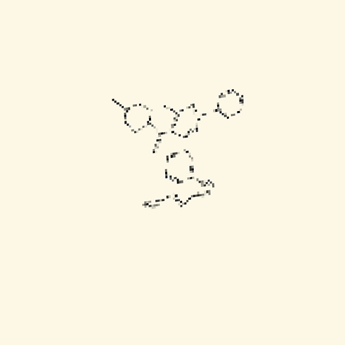 Cc1nc(-c2ccccc2)nc(-c2cccc([N+](=O)[O-])c2)c1C(=O)N1CCN(C)CC1.O=C(O)C=CC(=O)O